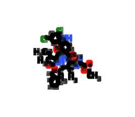 CCOC(=O)c1noc(C(NC(=O)[C@]2(NC(=O)C(NC(=O)OCc3ccccc3)C(C)CC)CCc3[nH]c4c(Cl)cc(Cl)cc4c3C2)C(C)CC)n1